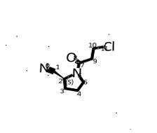 N#C[C@@H]1CCCN1C(=O)CCCl